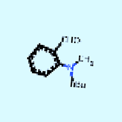 CCCCN(C)c1ccccc1[C]=O